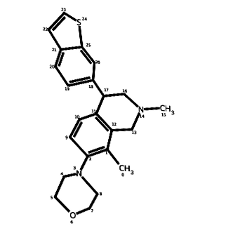 Cc1c(N2CCOCC2)ccc2c1CN(C)CC2c1ccc2ccsc2c1